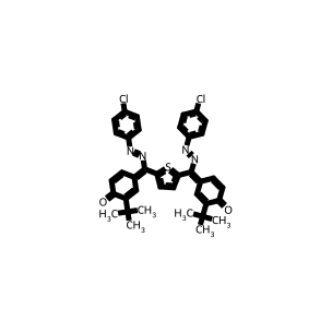 CC(C)(C)C1=C/C(=C(/N=N/c2ccc(Cl)cc2)c2ccc(C(/N=N/c3ccc(Cl)cc3)=C3/C=CC(=O)C(C(C)(C)C)=C3)s2)C=CC1=O